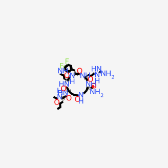 CCCC[C@H](NC(C)=O)C(=O)N[C@H]1CCC(=O)NCC[C@@H](C(N)=O)NC(=O)[C@H](CCCNC(=N)N)NC(=O)[C@@H](Cc2ccc(F)c(F)c2)NC(=O)[C@H](CCCN)NC1=O